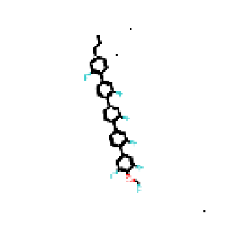 CCCc1ccc(-c2ccc(-c3ccc(-c4ccc(-c5cc(F)c(OCF)c(F)c5)c(F)c4)c(F)c3)c(F)c2)c(F)c1